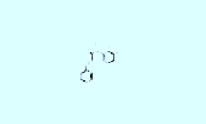 O=[C]C(C(=O)COc1ccccc1)c1cccc(Br)c1